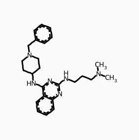 CN(C)CCCNc1nc(NC2CCN(Cc3ccccc3)CC2)c2ccccc2n1